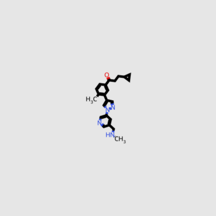 CNCc1cncc(-n2cc(-c3cc(C(=O)CCC4CC4)ccc3C)cn2)c1